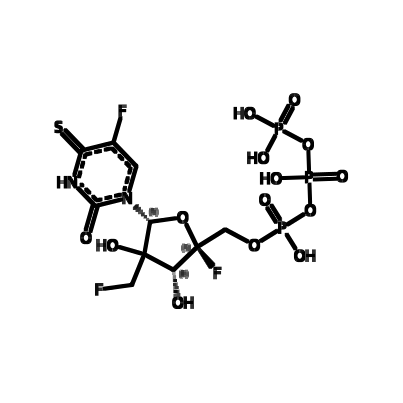 O=c1[nH]c(=S)c(F)cn1[C@@H]1O[C@](F)(COP(=O)(O)OP(=O)(O)OP(=O)(O)O)[C@H](O)C1(O)CF